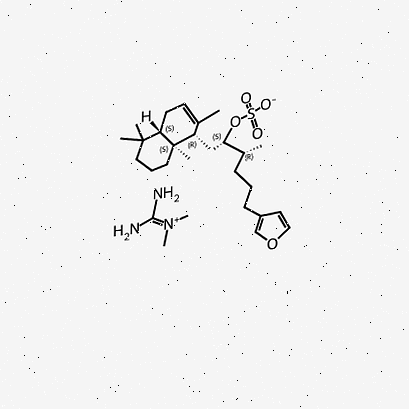 CC1=CC[C@H]2C(C)(C)CCC[C@]2(C)[C@H]1C[C@H](OS(=O)(=O)[O-])[C@H](C)CCCc1ccoc1.C[N+](C)=C(N)N